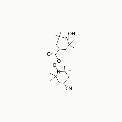 CC1(C)CC(C(=O)OON2C(C)(C)CC(C#N)CC2(C)C)CC(C)(C)N1O